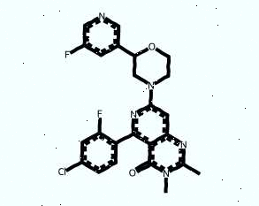 Cc1nc2cc(N3CCOC(c4cncc(F)c4)C3)nc(-c3ccc(Cl)cc3F)c2c(=O)n1C